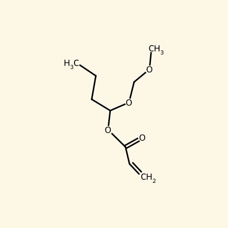 C=CC(=O)OC(CCC)OCOC